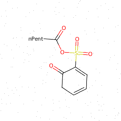 CCCCCC(=O)OS(=O)(=O)C1=CC=CCC1=O